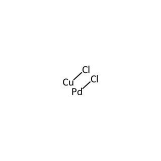 [Cl][Cu].[Cl][Pd]